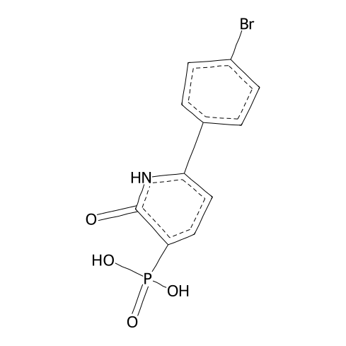 O=c1[nH]c(-c2ccc(Br)cc2)ccc1P(=O)(O)O